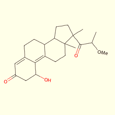 COC(C)C(=O)C1(C)CCC2C3CCC4=CC(=O)CC(O)C4=C3CCC21C